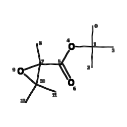 CC(C)(C)OC(=O)C1(C)OC1(C)C